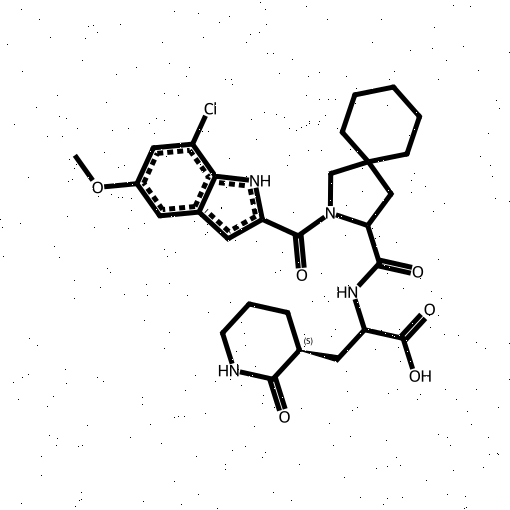 COc1cc(Cl)c2[nH]c(C(=O)N3CC4(CCCCC4)CC3C(=O)NC(C[C@@H]3CCCNC3=O)C(=O)O)cc2c1